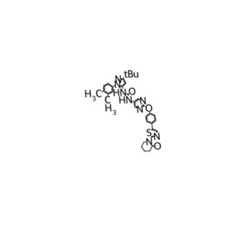 Cc1ccc(-n2nc(C(C)(C)C)cc2NC(=O)Nc2cnc(Oc3ccc(-c4cnc(N5CCCCC5=O)s4)cc3)nc2)cc1C